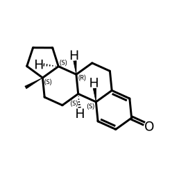 C[C@@]12CCC[C@H]1[C@@H]1CCC3=CC(=O)C=C[C@@H]3[C@H]1CC2